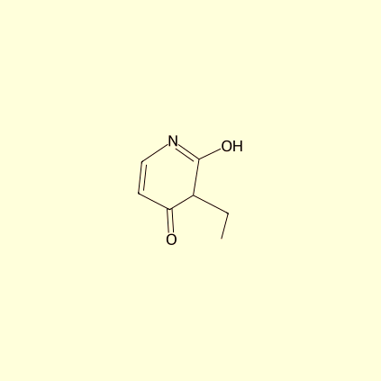 CCC1C(=O)C=CN=C1O